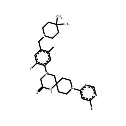 CC1(C)CCN(Cc2cc(F)c(N3CC(=O)NC4(CCN(c5cc(F)ncn5)CC4)C3)cc2F)CC1